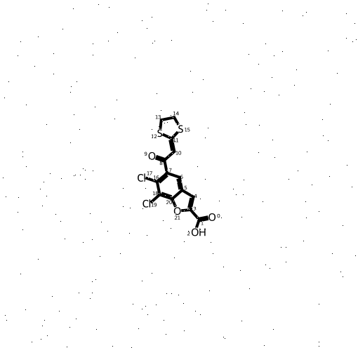 O=C(O)c1cc2cc(C(=O)C=C3SCCS3)c(Cl)c(Cl)c2o1